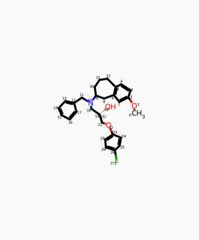 COc1ccc2c(c1)CC(N(Cc1ccccc1)C[C@H](O)COc1ccc(F)cc1)CCC2